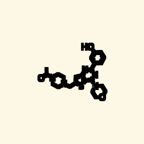 CC(=O)N1CCN(Cc2cc3nc(-c4cccc(O)c4)nc(N4CCOCC4)c3s2)CC1